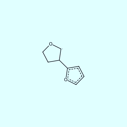 [CH]1OCCC1c1ccco1